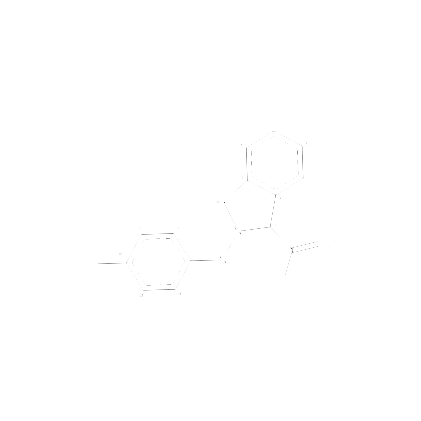 O=CC(=O)C1c2ccccc2CN1Nc1ccc(Br)cc1